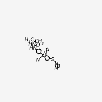 CC(C)NC(=O)Nc1ccc(-c2c(C#N)c3ccc(SCCn4ccnc4)cc3n2C2CCC2)cc1